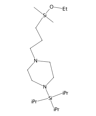 CCO[Si](C)(C)CCCN1CCN([Si](C(C)C)(C(C)C)C(C)C)CC1